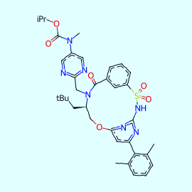 Cc1cccc(C)c1-c1cc2nc(n1)NS(=O)(=O)c1cccc(c1)C(=O)N(Cc1ncc(N(C)C(=O)OC(C)C)cn1)[C@H](CC(C)(C)C)CO2